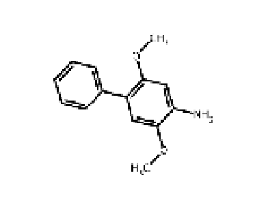 COc1cc(-c2ccccc2)c(OC)cc1N